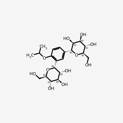 CC(C)Oc1ccc([C@H]2O[C@H](CO)[C@@H](O)[C@H](O)[C@@H]2O)cc1[C@H]1O[C@H](CO)[C@@H](O)[C@H](O)[C@H]1O